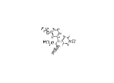 [N-]=[N+]=N[C@H](C(=O)O)[C@@H](c1ccc(Cl)cc1)c1cccc(OC(F)(F)F)c1